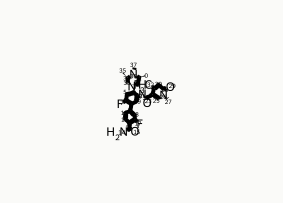 C[C@@H]1CN(c2cc(F)c(-c3ccc(C(N)=O)c(F)c3)cc2NC(=O)c2cn(C)c(=O)cc2C(F)(F)F)C[C@H](C)N1C